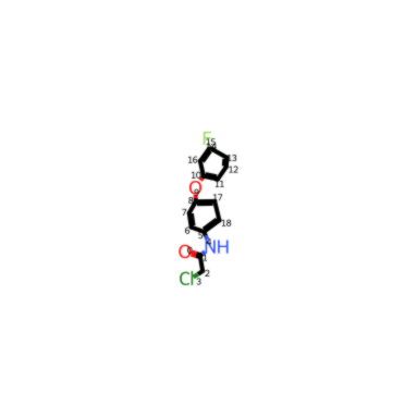 O=C(CCl)Nc1ccc(Oc2cccc(F)c2)cc1